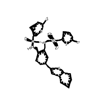 O=S(=O)(Nc1ccc(-c2cc3ccccc3s2)cc1NS(=O)(=O)c1ccc(Cl)s1)c1ccc(Cl)s1